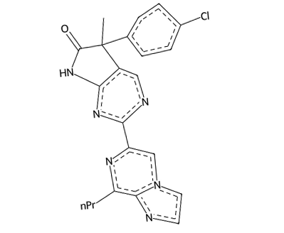 CCCc1nc(-c2ncc3c(n2)NC(=O)C3(C)c2ccc(Cl)cc2)cn2ccnc12